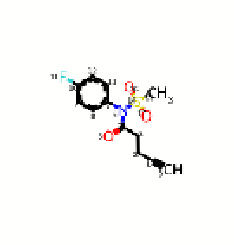 C#CCCC(=O)N(c1ccc(F)cc1)S(C)(=O)=O